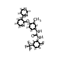 Cc1cc(NC(=O)Nc2cc(C(F)(F)F)ccc2F)ccc1Oc1ncccc1-c1ccncn1